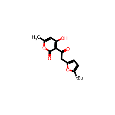 Cc1cc(O)c(C(=O)Cc2ccc(C(C)(C)C)o2)c(=O)o1